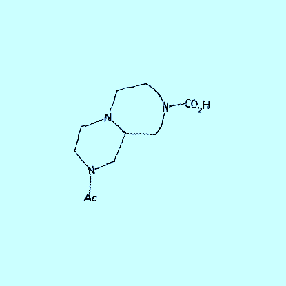 CC(=O)N1CCN2CCN(C(=O)O)CC2C1